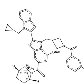 COc1cc(C(=O)N2C[C@H]3CC[C@@H]2[C@@H]3N)cc2nc(-c3cc4ccccc4n3CC3CC3)n(CC3CN(C(=O)c4cccc(F)c4)C3)c12